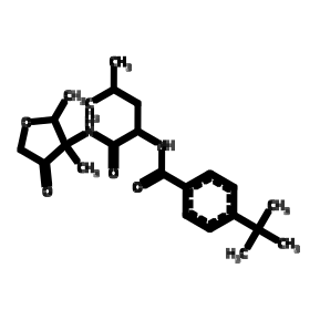 CC(C)CC(NC(=O)c1ccc(C(C)(C)C)cc1)C(=O)NC1(C)C(=O)COC1C